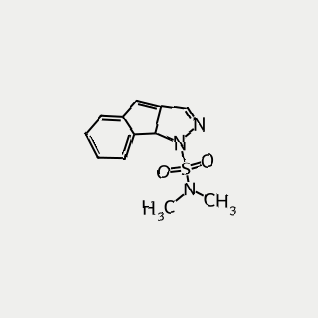 CN(C)S(=O)(=O)N1N=CC2=Cc3ccccc3C21